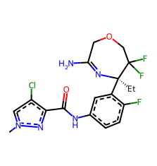 CC[C@]1(c2cc(NC(=O)c3nn(C)cc3Cl)ccc2F)N=C(N)COCC1(F)F